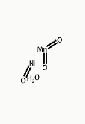 O.[O]=[Mn]=[O].[O]=[Ni]